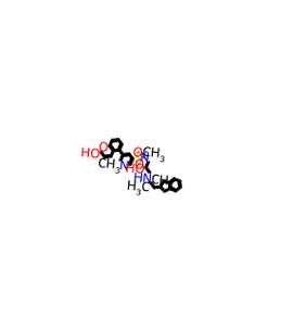 CC(=Cc1ccccc1-c1cncc(S(=O)(=O)N(C)CC(O)CNC(C)(C)CC2Cc3ccccc3C2)c1)C(=O)O